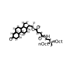 CCCCCCCC[N+](C)(CCCCCCCC)CCNC(=O)CCC(=O)O[C@@H](C)[C@H]1CCC2C3CCC4=CC(=O)CC[C@]4(C)C3CC[C@@]21C